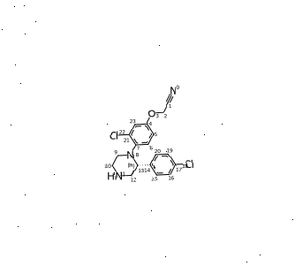 N#CCOc1ccc(N2CCNC[C@H]2c2ccc(Cl)cc2)c(Cl)c1